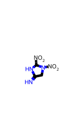 N=C1CN([N+](=O)[O-])C([N+](=O)[O-])N1